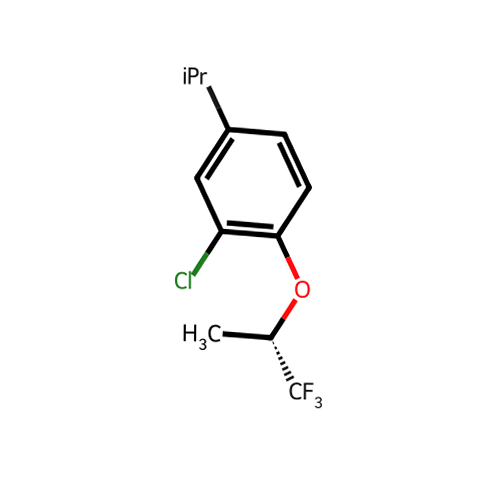 CC(C)c1ccc(O[C@@H](C)C(F)(F)F)c(Cl)c1